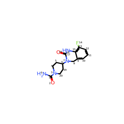 NC(=O)N1CCC(N2Cc3cccc(F)c3NC2=O)CC1